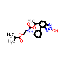 C=C(C)C(=O)OCCNC(=O)OC(C)c1ccc2nn(O)nc2c1-c1ccccc1